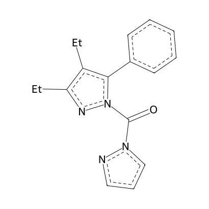 CCc1nn(C(=O)n2cccn2)c(-c2ccccc2)c1CC